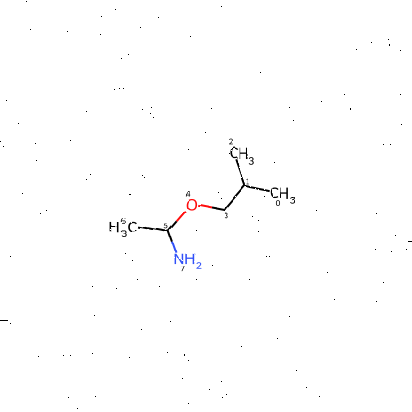 CC(C)COC(C)N